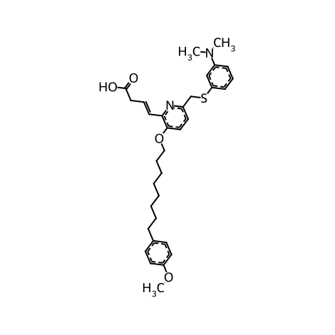 COc1ccc(CCCCCCCCOc2ccc(CSc3cccc(N(C)C)c3)nc2C=CCC(=O)O)cc1